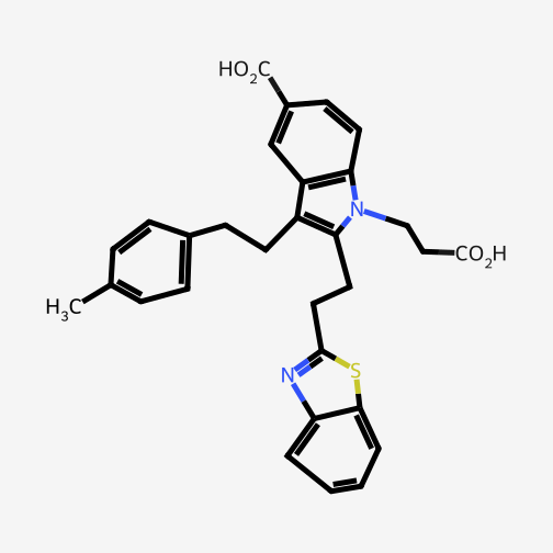 Cc1ccc(CCc2c(CCc3nc4ccccc4s3)n(CCC(=O)O)c3ccc(C(=O)O)cc23)cc1